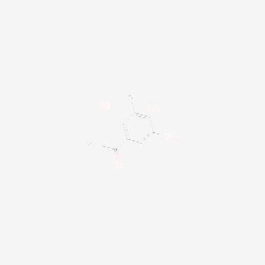 [B+2]c1cc(C(=O)OC)cc([N+](=O)[O-])c1.[OH-].[OH-]